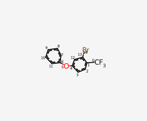 FC(F)(F)c1ccc(Oc2ccccc2)cc1Br